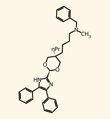 CCC[C@]1(CCCCN(C)Cc2ccccc2)CO[C@@H](c2nc(-c3ccccc3)c(-c3ccccc3)[nH]2)OC1